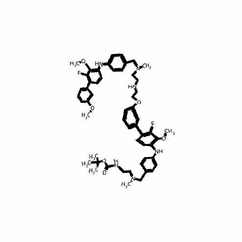 COc1cccc(-c2ccc(Nc3ccc(CN(C)CCNCCOc4cccc(-c5ccc(Nc6ccc(CN(C)CCNC(=O)OC(C)(C)C)cc6)c(OC)c5F)c4)cc3)c(OC)c2F)c1